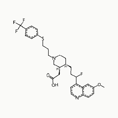 COc1ccc2nccc(C(F)CC[C@@H]3CCN(CCCSc4ccc(C(F)(F)F)cc4)C[C@@H]3CC(=O)O)c2c1